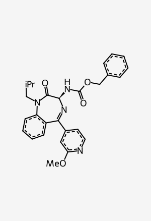 COc1cc(C2=N[C@H](NC(=O)OCc3ccccc3)C(=O)N(CC(C)C)c3ccccc32)ccn1